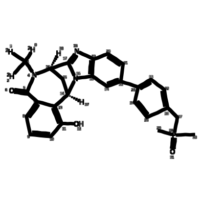 [2H]C([2H])([2H])N1C(=O)c2cccc(O)c2[C@H]2C[C@@H]1c1nc3ccc(-c4ccc(CP(C)(C)=O)cc4)cc3n12